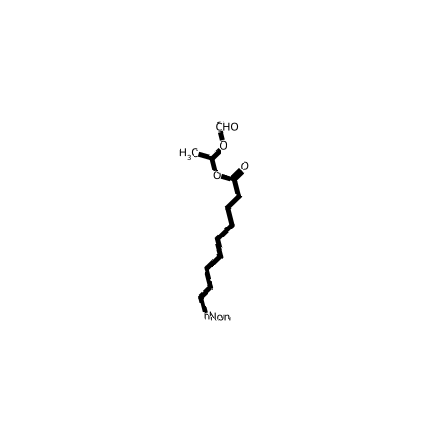 CCCCCCCCCCCCCCCCCC(=O)OC(C)OC=O